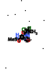 CSNC(=O)c1ccc(NC(=O)c2[nH]c(C)c(Cl)c2Cl)c(N2CCOCC2)c1